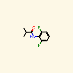 CC(C)C(=O)Nc1c(F)cccc1F